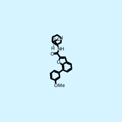 COc1cccc(-c2cccc3cc(C(=O)N[C@@H]4CN5CCC4CC5)oc23)c1